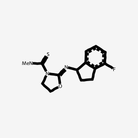 CNC(=S)N1CCO/C1=N\C1CCc2c(F)cccc21